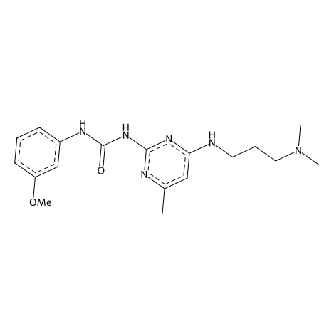 COc1cccc(NC(=O)Nc2nc(C)cc(NCCCN(C)C)n2)c1